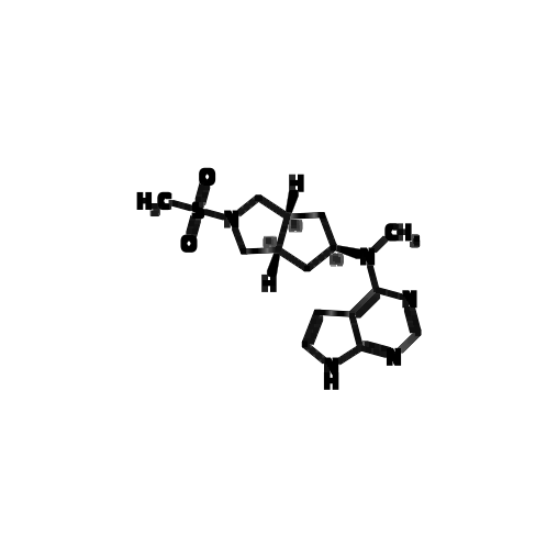 CN(c1ncnc2[nH]ccc12)[C@H]1C[C@@H]2CN(S(C)(=O)=O)C[C@@H]2C1